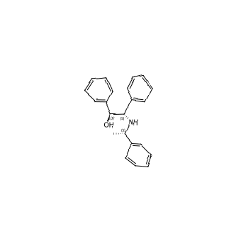 C[C@H](N[C@@H](c1ccccc1)[C@@H](O)c1ccccc1)c1ccccc1